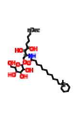 CCCCCCCCCCCCCC[C@@H](O)[C@@H](O)[C@H](COC1OC(CO)C(O)C(O)C1O)NC(=O)CCCCCCCCCC[Si]1(C)CCCCC1